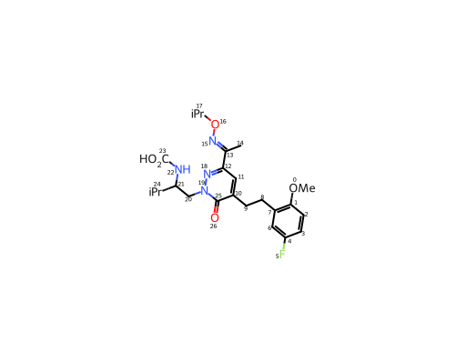 COc1ccc(F)cc1CCc1cc(C(C)=NOC(C)C)nn(CC(NC(=O)O)C(C)C)c1=O